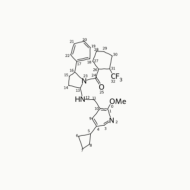 COc1ncc(C2CCC2)cc1CNC1CCC(c2ccccc2)N1C(=O)C1CCCCC1C(F)(F)F